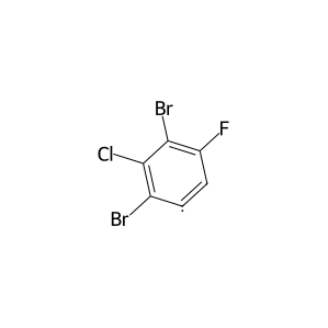 Fc1c[c]c(Br)c(Cl)c1Br